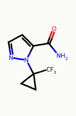 NC(=O)c1ccnn1C1(C(F)(F)F)CC1